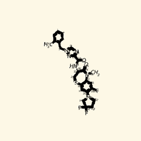 Cc1ccccc1Cn1cnc(C(=O)N[C@H]2CSc3cc(N4CCC(F)(F)C4)c(F)cc3N(C)C2=O)n1